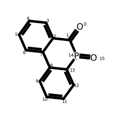 O=C1c2ccccc2-c2ccccc2[P]1=O